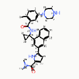 Cc1ccc(N2CCNCC2)cc1C(=O)NC1(c2cc(-c3ccc(C(=O)N(C)C)[nH]3)cc3ccccc23)CC1